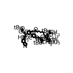 C[C@H]1C(O[Si](C)(C)C(C)(C)C)CC(O[Si](C)(C)C(C)(C)C)C1C/C=C\CCCC(=O)OCc1ccc(C(CNC(=O)OC(C)(C)C)C(=O)Nc2ccc3cnccc3c2)cc1-c1ccc(OC[C@@H](C)O[Si](C)(C)C(C)(C)C)cc1C(F)(F)F